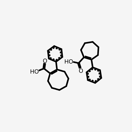 O=C(O)/C1=C(\c2ccccc2)CCCCCC1.O=C(O)C1=C(c2ccccc2)CCCCC1